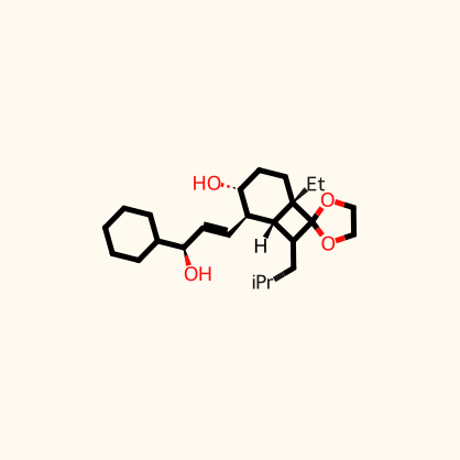 CC[C@]12CC[C@@H](O)[C@H](/C=C/[C@@H](O)C3CCCCC3)[C@H]1C(CC(C)C)C21OCCO1